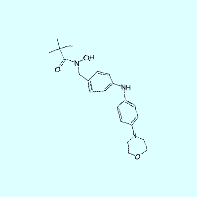 CC(C)(C)C(=O)N(O)Cc1ccc(Nc2ccc(N3CCOCC3)cc2)cc1